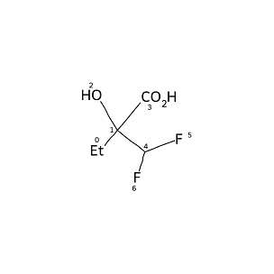 CCC(O)(C(=O)O)C(F)F